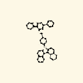 C1=Cc2c(ccc3c2c2c4ccccc4ccc2n3-c2ccc(-c3nc4c(o3)c(-c3ccccc3)cc3oc5ccccc5c34)cc2)CC1